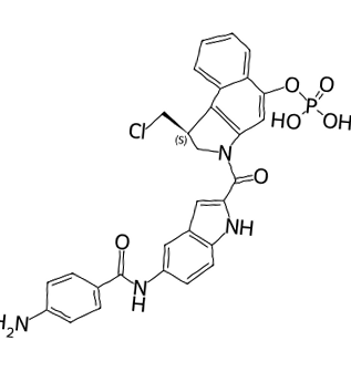 Nc1ccc(C(=O)Nc2ccc3[nH]c(C(=O)N4C[C@@H](CCl)c5c4cc(OP(=O)(O)O)c4ccccc54)cc3c2)cc1